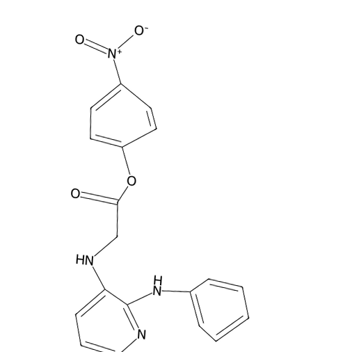 O=C(CNc1cccnc1Nc1ccccc1)Oc1ccc([N+](=O)[O-])cc1